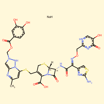 CC1=NC2=CN(COC(=O)c3ccc(O)c(O)c3)NN2C(SCC2=C(C(=O)O)N3C(=O)[C@@H](NC(=O)C(=NOCc4nc(=O)c(O)c[nH]4)c4csc(N)n4)[C@H]3SC2)=C1.[NaH]